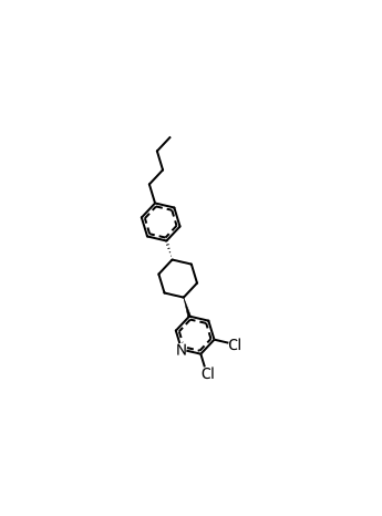 CCCCc1ccc([C@H]2CC[C@H](c3cnc(Cl)c(Cl)c3)CC2)cc1